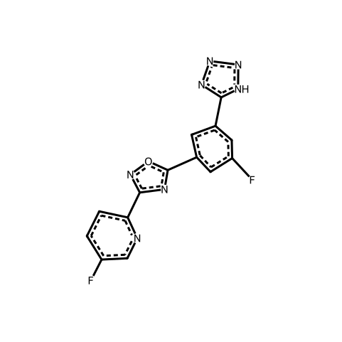 Fc1ccc(-c2noc(-c3cc(F)cc(-c4nnn[nH]4)c3)n2)nc1